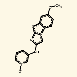 COc1ccc2c(c1)sc1nc(Nc3ccc[n+]([O-])c3)cn12